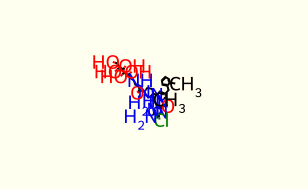 Cc1ccccc1CC(CNC(=O)c1nc(Cl)c(N)nc1N)CN(C)C1CCN(C(=O)CCNCC(O)C(O)C(O)C(O)CO)CC1